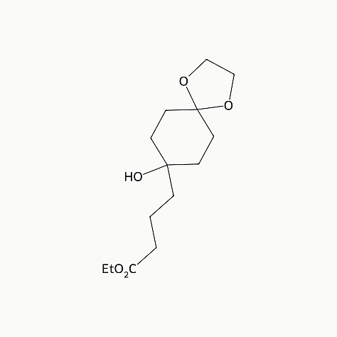 CCOC(=O)CCCC1(O)CCC2(CC1)OCCO2